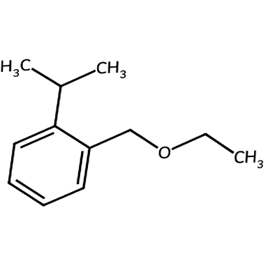 CCOCc1ccccc1C(C)C